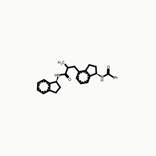 CC(C)C(=O)N[C@@H]1CCc2c(CC(C)C(=O)N[C@H]3CCc4ccccc43)cccc21